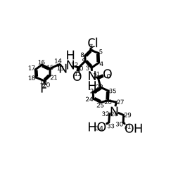 O=C(Nc1ccc(Cl)cc1C(=O)NN=Cc1cccc(F)c1)c1cccc(CN(CCO)CCO)c1